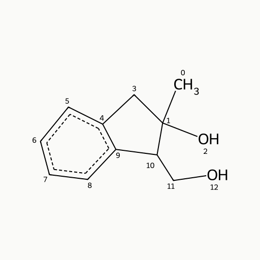 CC1(O)Cc2ccccc2C1CO